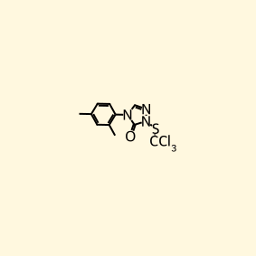 Cc1ccc(-n2cnn(SC(Cl)(Cl)Cl)c2=O)c(C)c1